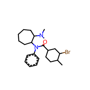 CC1CCC(C(=O)N(c2ccccc2)C2CCCCCC2N(C)C)CC1Br